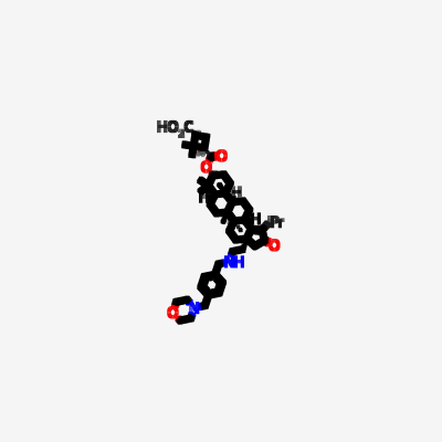 CC(C)C1=C2[C@H]3CC[C@@H]4[C@@]5(C)CC[C@H](OC(=O)[C@H]6C[C@@H](C(=O)O)C6(C)C)C(C)(C)[C@@H]5CC[C@@]4(C)[C@]3(C)CC[C@@]2(CCNCc2ccc(CN3CCOCC3)cc2)CC1=O